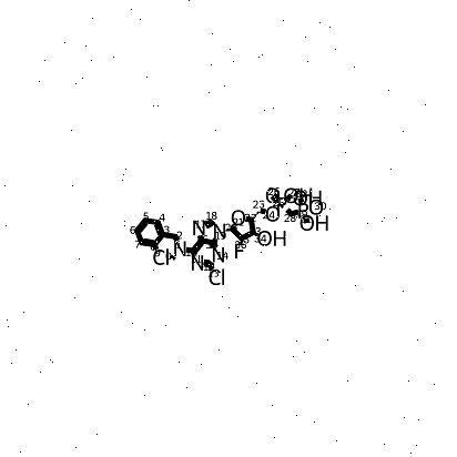 CN(Cc1ccccc1Cl)c1nc(Cl)nc2c1ncn2[C@@H]1O[C@H](COP(=O)(O)CP(=O)(O)O)[C@@H](O)[C@@H]1F